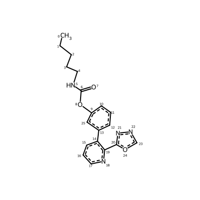 CCCCCNC(=O)Oc1cccc(-c2cccnc2-c2nnco2)c1